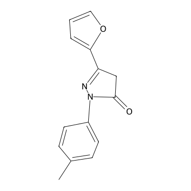 Cc1ccc(N2N=C(c3ccco3)CC2=O)cc1